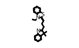 CCN1/C(=C\CCC2=Nc3ccccc3C2(C)C)Sc2ccccc21